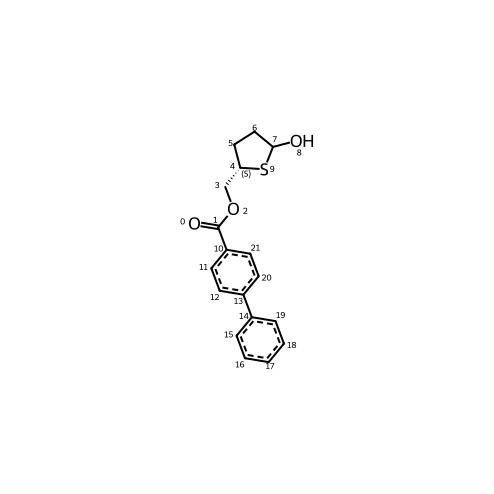 O=C(OC[C@@H]1CCC(O)S1)c1ccc(-c2ccccc2)cc1